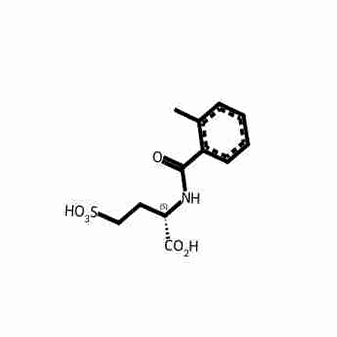 Cc1ccccc1C(=O)N[C@@H](CCS(=O)(=O)O)C(=O)O